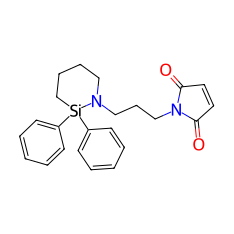 O=C1C=CC(=O)N1CCCN1CCCC[Si]1(c1ccccc1)c1ccccc1